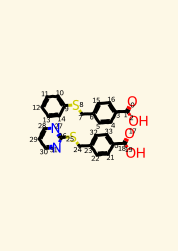 O=C(O)c1ccc(CSc2ccccc2)cc1.O=C(O)c1ccc(CSc2ncccn2)cc1